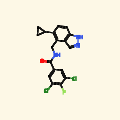 O=C(NCc1c(C2CC2)ccc2[nH]ncc12)c1cc(Cl)c(F)c(Cl)c1